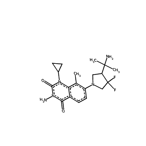 Cc1c(N2CC(C(C)(C)N)C(F)(F)C2)ccc2c(=O)n(N)c(=O)n(C3CC3)c12